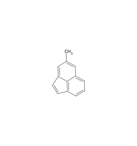 Cc1cc2c3c(cccc3c1)C=C2